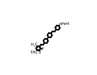 CCCCCC1CCC(CCC2CCC(C3CCC(CCc4c(C)cc(OCC)c(F)c4F)CC3)CC2)CC1